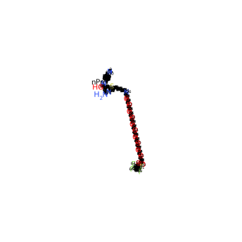 CCCN(Cc1ccc(CN(C)C)cc1)C(O)C1=Cc2sc(CCCCCN(C)CCOCCOCCOCCOCCOCCOCCOCCOCCOCCOCCC(=O)Oc3c(F)c(F)cc(F)c3F)cc2N=C(N)C1